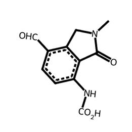 CN1Cc2c(C=O)ccc(NC(=O)O)c2C1=O